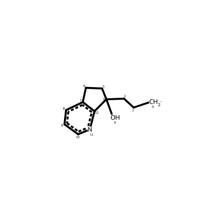 [CH2]CCC1(O)CCc2cccnc21